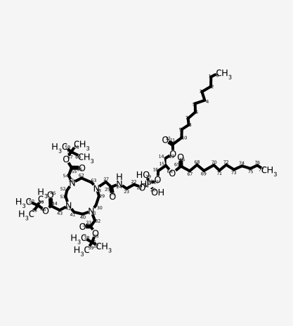 CCCCCCCCCCCC(=O)OC[C@H](CO[PH](O)(O)OCCNC(=O)CN1CCN(CC(=O)OC(C)(C)C)CCN(CC(=O)OC(C)(C)C)CCN(CC(=O)OC(C)(C)C)CC1)OC(=O)CCCCCCCCCCC